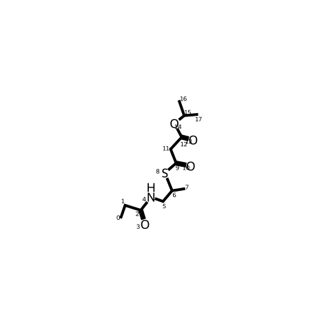 CCC(=O)NCC(C)SC(=O)CC(=O)OC(C)C